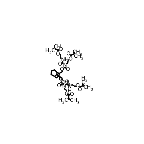 C=C(C)C(=O)OCCNC(=O)N(CCOC(=O)C(=C)C)C(=O)OCCC1C2CCCC1C(COC(=O)N(CCOC(=O)C(=C)C)C(=O)NCCOC(=O)C(=C)C)C(CC)C2